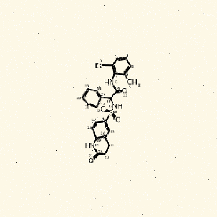 CCc1cccc(C)c1NC(=O)C(NS(=O)(=O)c1ccc2c(c1)CCC(=O)N2)c1ccccc1